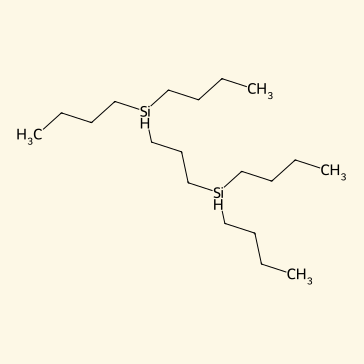 CCCC[SiH](CCCC)CCC[SiH](CCCC)CCCC